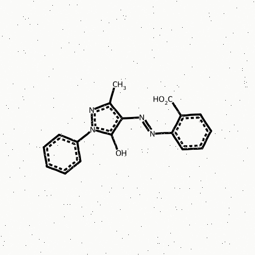 Cc1nn(-c2ccccc2)c(O)c1N=Nc1ccccc1C(=O)O